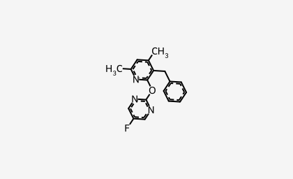 Cc1cc(C)c(Cc2ccccc2)c(Oc2ncc(F)cn2)n1